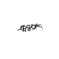 C=C1C[C@H]2C[C@@H](OC(=O)c3ccc([N+](=O)[O-])cc3)CN2C1